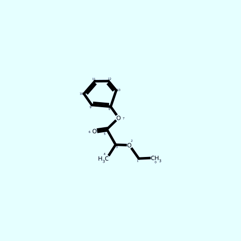 CCOC(C)C(=O)Oc1ccccc1